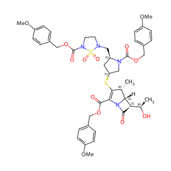 COc1ccc(COC(=O)C2=C(S[C@H]3C[C@@H](CN4CCN(C(=O)OCc5ccc(OC)cc5)S4(=O)=O)N(C(=O)OCc4ccc(OC)cc4)C3)[C@H](C)[C@@H]3[C@@H]([C@@H](C)O)C(=O)N23)cc1